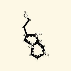 [O]CCc1cn2ccncc2n1